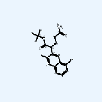 Cc1nc2cccc(F)c2cc1C(CCC(N)=O)C(=O)OC(C)(C)C